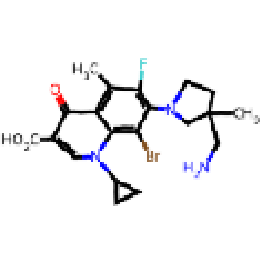 Cc1c(F)c(N2CCC(C)(CN)C2)c(Br)c2c1c(=O)c(C(=O)O)cn2C1CC1